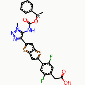 C[C@@H](OC(=O)Nc1c(-c2cc3sc(-c4cc(F)c(CC(=O)O)cc4F)cc3s2)nnn1C)c1ccccc1